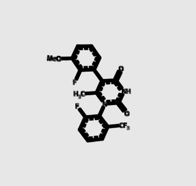 COc1cccc(-c2c(C)n(-c3c(F)cccc3C(F)(F)F)c(=O)[nH]c2=O)c1F